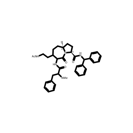 CNC(Cc1ccccc1)C(=O)NC1C(=O)N2[C@@H](CCC1CCNC(C)=O)CC[C@H]2C(=O)NC(c1ccccc1)c1ccccc1